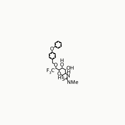 CNC1=N[C@@H]2[C@@H](O)[C@H](O)C([C@@H](OCc3ccc(Oc4ccccc4)cc3)C(F)(F)F)O[C@@H]2S1